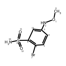 CONc1ccc(Br)c(S(N)(=O)=O)c1